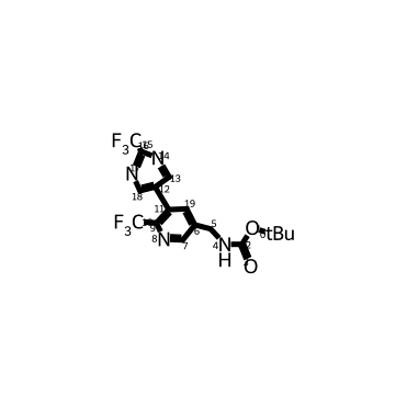 CC(C)(C)OC(=O)NCc1cnc(C(F)(F)F)c(-c2cnc(C(F)(F)F)nc2)c1